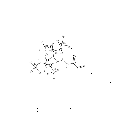 C=CC(=O)OCCC(O[Si](C)(O[Si](C)(C)C)O[Si](C)(C)C)[SiH](O[Si](C)(C)C)O[Si](C)(C)C